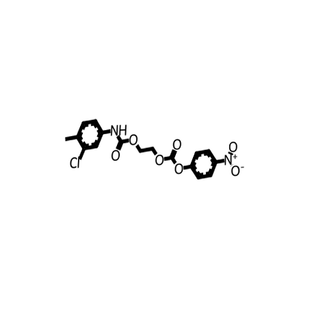 Cc1ccc(NC(=O)OCCOC(=O)Oc2ccc([N+](=O)[O-])cc2)cc1Cl